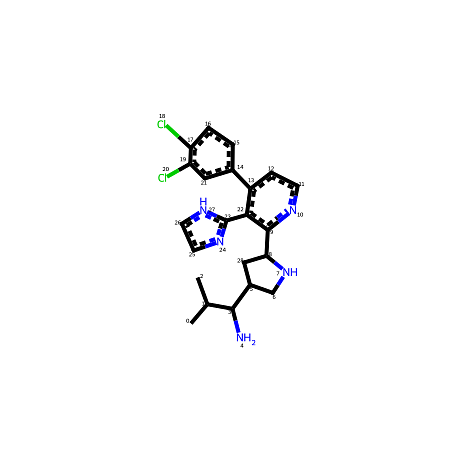 CC(C)C(N)C1CNC(c2nccc(-c3ccc(Cl)c(Cl)c3)c2-c2ncc[nH]2)C1